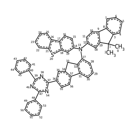 CC1(C)c2ccccc2-c2ccc(N(c3ccc4c(c3)sc3ccccc34)c3cccc4c3Cc3cc(-c5nc(-c6ccccc6)nc(-c6ccccc6)n5)ccc3-4)cc21